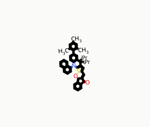 Cc1cc(C)c(-c2ccc3c(c2)C(C(C)C)(C(C)C)c2cc(C=C4C(=O)c5ccccc5C4=O)sc2N3c2cccc3ccccc23)c(C)c1